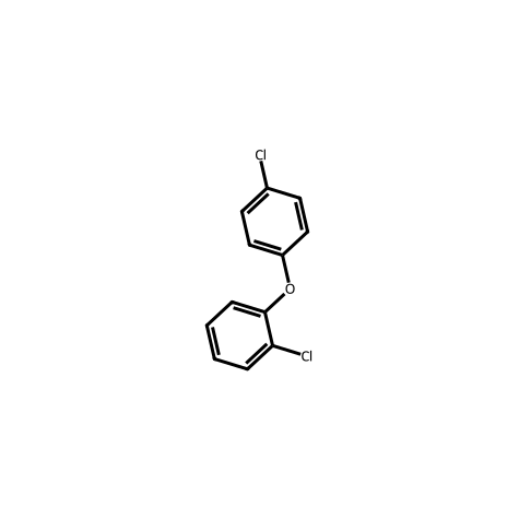 Clc1ccc(Oc2ccccc2Cl)cc1